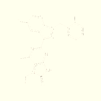 O=c1[nH]c2nc(-c3nn(Cc4ccccc4F)c4ncc(F)cc34)nc(I)c2n1CC(F)(F)F